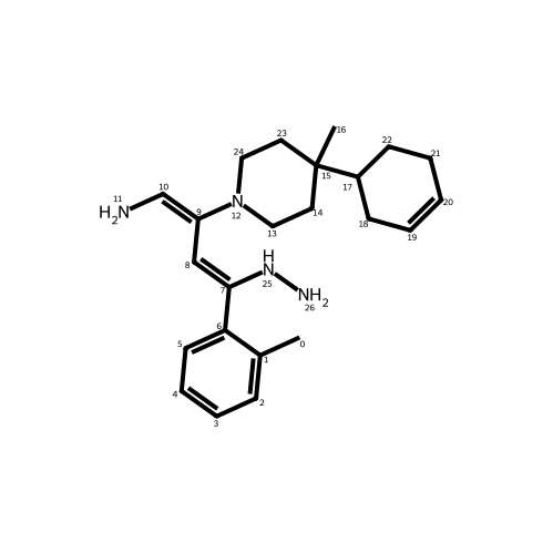 Cc1ccccc1/C(=C/C(=C\N)N1CCC(C)(C2CC=CCC2)CC1)NN